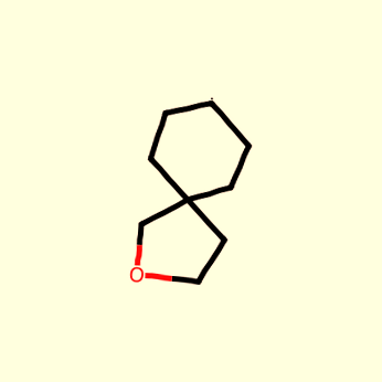 [CH]1CCC2(CC1)CCOC2